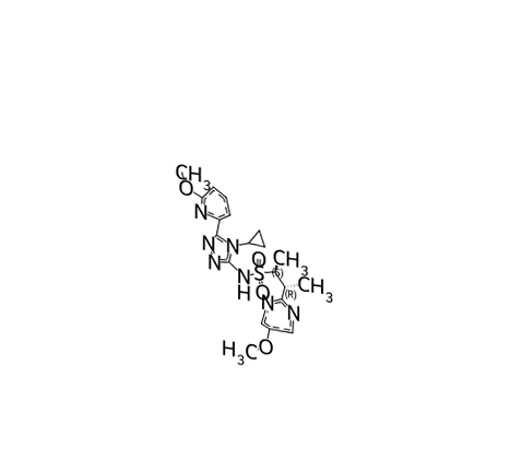 COc1cnc([C@@H](C)[C@H](C)S(=O)(=O)Nc2nnc(-c3cccc(OC)n3)n2C2CC2)nc1